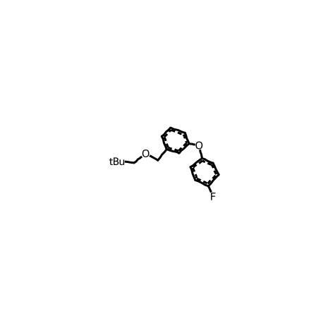 CC(C)(C)COCc1cccc(Oc2ccc(F)cc2)c1